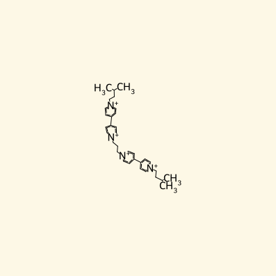 CC(C)CC[n+]1ccc(-c2cc[n+](CCC[n+]3ccc(-c4cc[n+](CCC(C)C)cc4)cc3)cc2)cc1